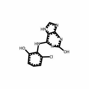 Oc1nc(Nc2c(O)cccc2Cl)c2[nH]cnc2n1